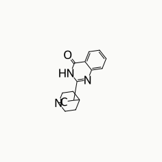 O=c1[nH]c(C2CN3CCC2CC3)nc2ccccc12